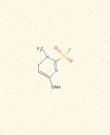 COC1=CCN(C(F)(F)F)C(S(C)(=O)=O)=N1